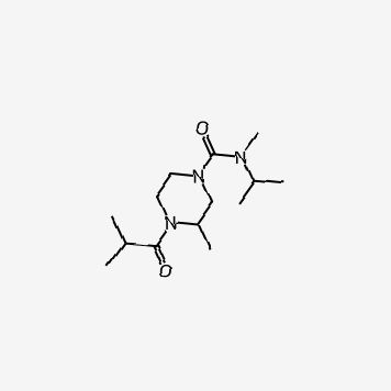 CC(C)C(=O)N1CCN(C(=O)N(C)C(C)C)CC1C